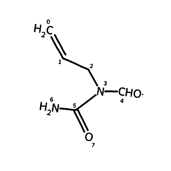 C=CCN([C]=O)C(N)=O